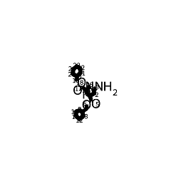 Nc1cc(C(=O)OCc2ccccc2)nc(C(=O)OCc2ccccc2)n1